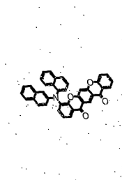 O=c1c2ccccc2oc2cc3oc4c(N(c5ccc6ccccc6c5)c5cccc6ccccc56)cccc4c(=O)c3cc12